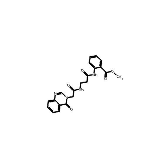 COC(=O)c1ccccc1NC(=O)CCNC(=O)Cn1cnc2ccccc2c1=O